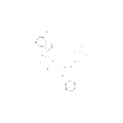 CCC(CC)C(C)OC(=O)[C@H](C)NP(=O)(OCC1O[C@@](C)(c2ccc3c(N)ncnn23)[C@H](O)[C@@H]1O)Oc1ccccc1